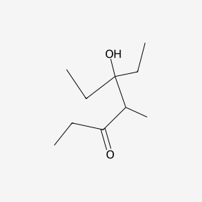 CCC(=O)C(C)C(O)(CC)CC